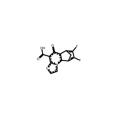 O=C(O)c1c(=O)c2c(n3ccsc13)C1=C(F)C(F)=C2C1